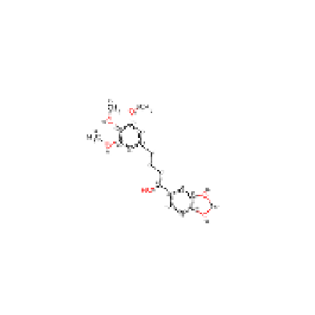 COc1cc(CCCC(O)c2ccc3c(c2)OCO3)cc(OC)c1OC